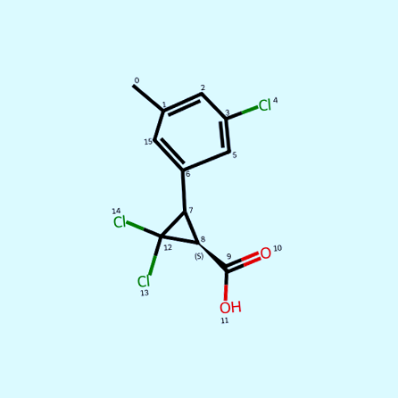 Cc1cc(Cl)cc(C2[C@@H](C(=O)O)C2(Cl)Cl)c1